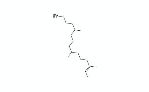 [CH2]C=C(C)CCCC(C)CCCC(C)CCCC(C)C